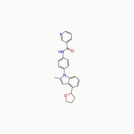 Cc1cc2c(C3CCCO3)cccc2n1-c1ccc(NC(=O)c2cccnc2)cc1